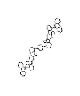 C1=CC2=C(CC1)N(C1=CCCC3=C1OC1C=c4c5c(oc4=CC31)C(C1C=CC(C3C=CCC4C6C=c7oc8c(c7=CC6OC34)CCCC8N3C4=C(C=CCC4)C4C=CCCC43)=CC1)CCC5)C1CCC=CC21